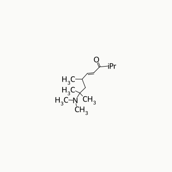 CC(/C=C/C(=O)C(C)C)CC(C)(C)N(C)C